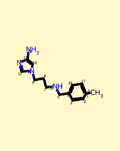 Cc1ccc(CNCCCn2cnc(N)c2)cc1